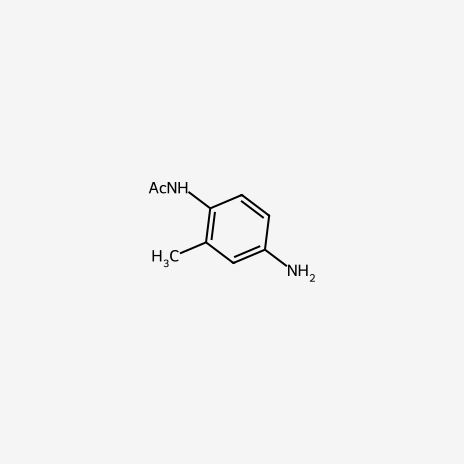 CC(=O)Nc1ccc(N)cc1C